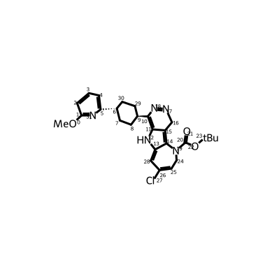 COc1cccc([C@H]2CC[C@H](C3=c4[nH]c5c(c4CN=N3)N(C(=O)OC(C)(C)C)CC=C(Cl)C=5)CC2)n1